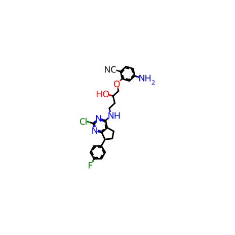 N#Cc1ccc(N)cc1OCC(O)CCNc1nc(Cl)nc2c1CCC2c1ccc(F)cc1